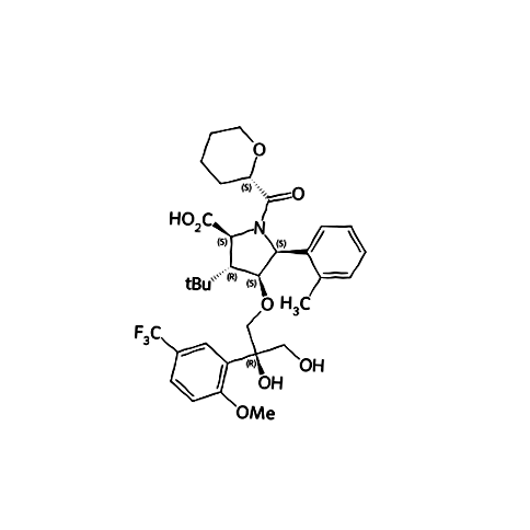 COc1ccc(C(F)(F)F)cc1[C@@](O)(CO)CO[C@H]1[C@H](C(C)(C)C)[C@@H](C(=O)O)N(C(=O)[C@@H]2CCCCO2)[C@H]1c1ccccc1C